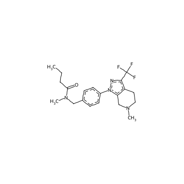 CCCC(=O)N(C)Cc1ccc(-n2nc(C(F)(F)F)c3c2CN(C)CC3)cc1